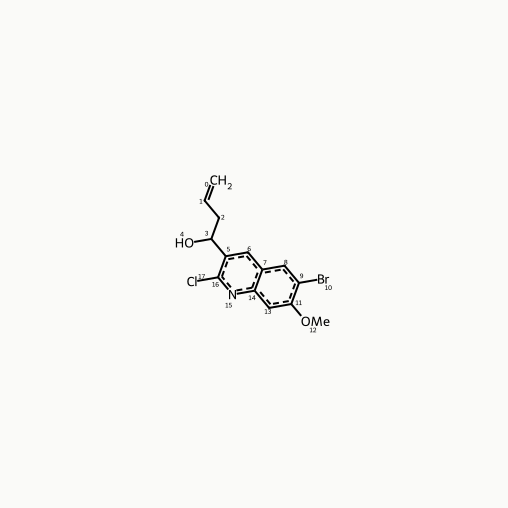 C=CCC(O)c1cc2cc(Br)c(OC)cc2nc1Cl